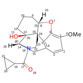 COc1ccc2c3c1O[C@H]1CCC[C@@]4(O)[C@@H](C2)N(C(=O)C2CC2)CC[C@]314